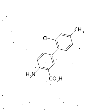 Cc1ccc(-c2ccc(N)c(C(=O)O)c2)c(Cl)c1